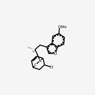 CCC1CC2C=CC1N([C@H](C)Cc1coc3ccc(OC)cc13)C2